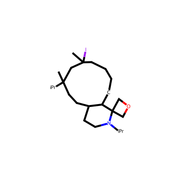 CC(C)N1CCC2CCC(C)(C(C)C)CC(C)(I)CCCCC2C12COC2